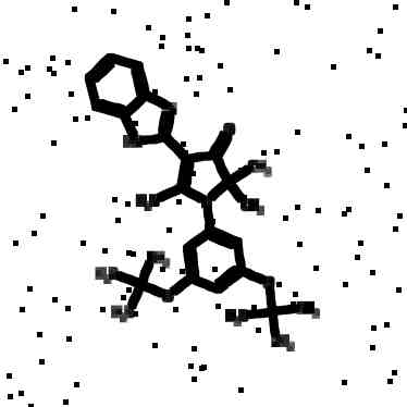 BC(B)(B)Oc1cc(OC(B)(B)B)cc(N2C(N)=C(c3nc4ccccc4[nH]3)C(=O)C2(C)C)c1